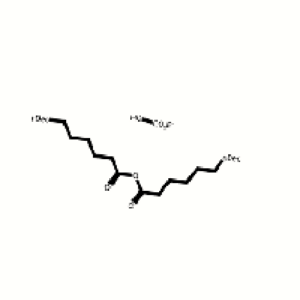 CCCCCCCCCCCCCCCC(=O)OC(=O)CCCCCCCCCCCCCCC.CCOC(=O)O